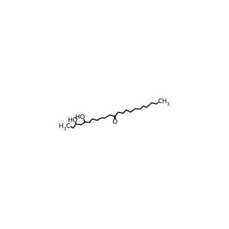 CCCCCCCCCCCC(=O)CCCCCCC(O)CC(O)CC